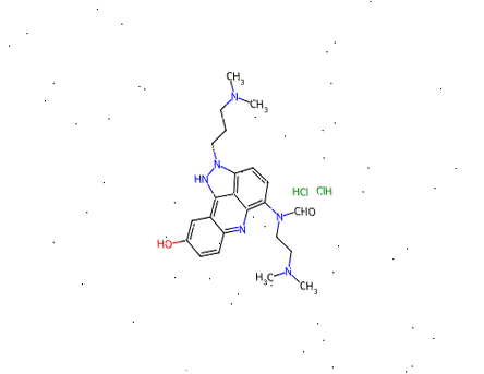 CN(C)CCCN1Nc2c3cc(O)ccc3nc3c(N(C=O)CCN(C)C)ccc1c23.Cl.Cl